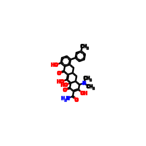 Cc1cccc(-c2ccc(O)c3c2CC2CC4C(N(C)C)C(O)=C(C(N)=O)C(=O)C4(O)C(O)=C2C3=O)c1